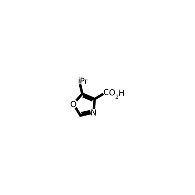 CC(C)c1ocnc1C(=O)O